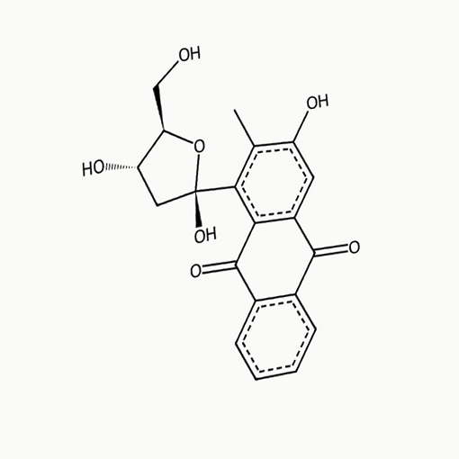 Cc1c(O)cc2c(c1[C@]1(O)C[C@H](O)[C@@H](CO)O1)C(=O)c1ccccc1C2=O